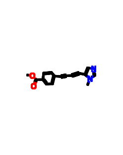 COC(=O)c1ccc(C#CC#Cc2cncn2C)cc1